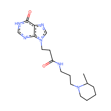 CC1CCCCN1CCCNC(=O)CCn1cnc2c(=O)[nH]cnc21